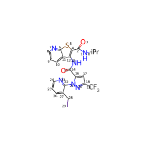 CC(C)NC(=O)c1sc2ncccc2c1NC(=O)c1cc(C(F)(F)F)nn1-c1ncccc1CI